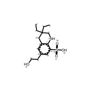 CCC1(CC)CNc2c(cc(CCO)cc2S(=O)(=O)O)C1